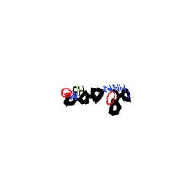 Cn1c(-c2ccc(-c3ccc(NC(=O)[C@@H](N)C(c4ccccc4)c4ccccc4)cc3)cc2F)cccc1=O